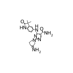 CC1(C)C(=O)Nc2ccc(Nc3nc(N4CCC[C@H](N)C4)ncc3C(N)=O)cc21